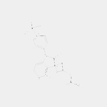 NC(=O)OC1CC2(C1)C(=O)N(c1ccc(C(F)(F)F)cc1)c1cccnc12